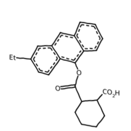 CCc1ccc2c(OC(=O)C3CCCCC3C(=O)O)c3ccccc3cc2c1